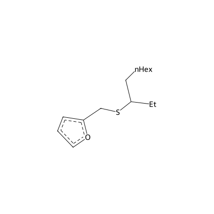 CCCCCCCC(CC)SCc1ccco1